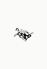 COc1cccc2c1C(=O)c1c(O)c3c(c(O)c1C2=O)CC(O)CC3OC1CCC[C@H](C)O1